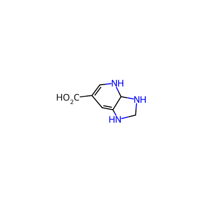 O=C(O)C1=CNC2NCNC2=C1